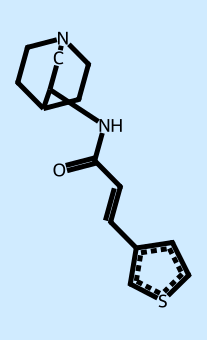 O=C(C=Cc1ccsc1)NC1CN2CCC1CC2